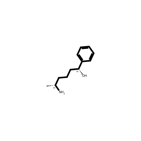 C[C@@H](N)CCC[C@@H](O)c1ccccc1